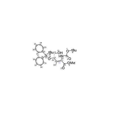 COC(=O)/C(NC(=O)OC(C)(C)C)=C(\C)[C@@H](CO)O[Si](c1ccccc1)(c1ccccc1)C(C)(C)C